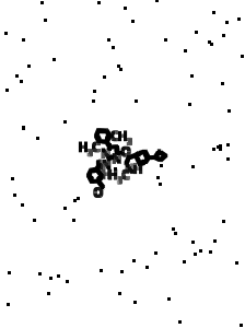 CNCC(Oc1cc(-c2c(C)cccc2C)nc(NSc2cccc(C=O)c2)n1)c1ccc(C2CCC2)cc1